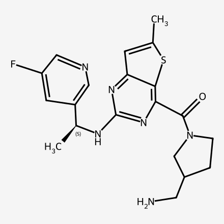 Cc1cc2nc(N[C@@H](C)c3cncc(F)c3)nc(C(=O)N3CCC(CN)C3)c2s1